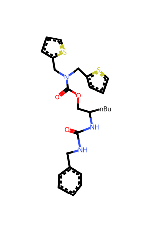 CCCCC(COC(=O)N(Cc1cccs1)Cc1cccs1)NC(=O)NCc1ccccc1